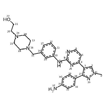 Cn1cc(-c2ccnc(Nc3cccc(CN4CCN(CCO)CC4)c3)n2)c(-c2ccc(N)cc2)n1